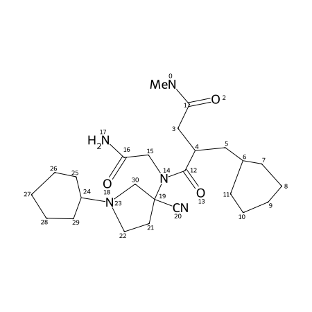 CNC(=O)CC(CC1CCCCC1)C(=O)N(CC(N)=O)C1(C#N)CCN(C2CCCCC2)C1